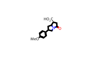 COc1ccc(C2CC3[C@H](C(=O)O)CC(=O)N3C2)cc1